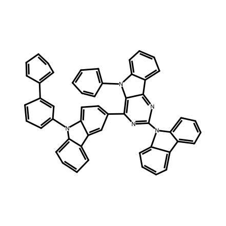 c1ccc(-c2cccc(-n3c4ccccc4c4cc(-c5nc(-n6c7ccccc7c7ccccc76)nc6c7ccccc7n(-c7ccccc7)c56)ccc43)c2)cc1